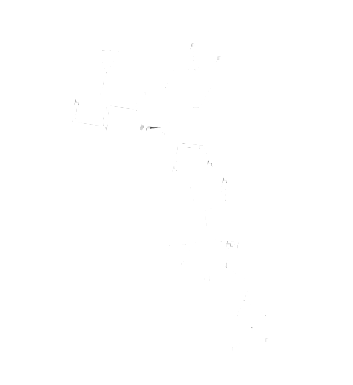 O=C(CC1CC(F)(F)C1)NC(c1cnn2cc([C@@H](NC(=O)c3nonc3C3CC3)C3CCC(F)(F)CC3)nc2c1)C1CC1